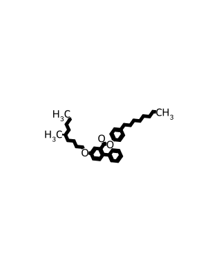 CCCCCCCCc1ccc(OC(=O)c2cc(OCCCC[C@@H](C)CCCC)ccc2-c2ccccc2)cc1